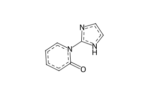 O=c1ccccn1-c1ncc[nH]1